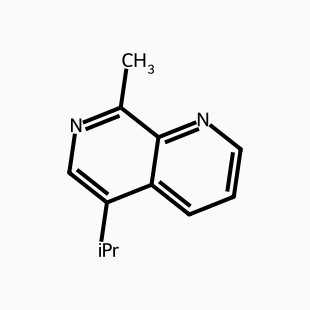 Cc1ncc(C(C)C)c2cccnc12